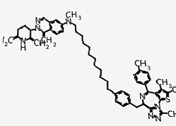 C=C1CCC(N2N=Cc3cc(N(C)CCCCCCCCCCCCc4ccc(CC5N=C(c6ccc(C)cc6)c6c(sc(C)c6C)-n6c(C)nnc65)cc4)ccc3C2=C)C(=C)N1